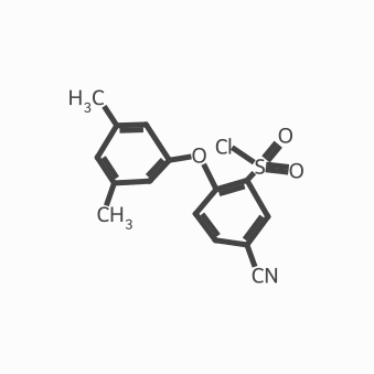 Cc1cc(C)cc(Oc2ccc(C#N)cc2S(=O)(=O)Cl)c1